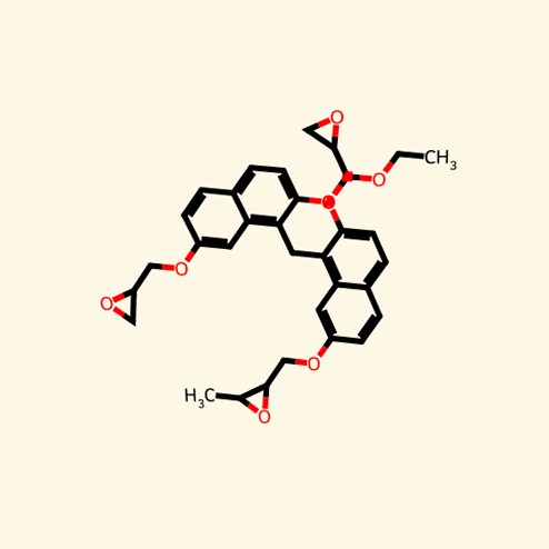 CCOCOc1ccc2ccc(OCC3CO3)cc2c1Cc1c(OCC2CO2)ccc2ccc(OCC3OC3C)cc12